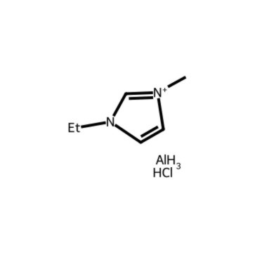 CCn1cc[n+](C)c1.Cl.[AlH3]